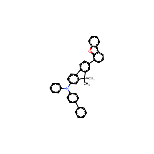 CC1(C)c2cc(-c3cccc4c3oc3ccccc34)ccc2-c2ccc(N(c3ccccc3)c3ccc(-c4ccccc4)cc3)cc21